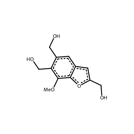 COc1c(CO)c(CO)cc2cc(CO)oc12